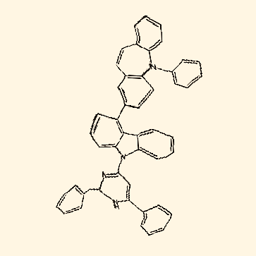 C1=Cc2cc(-c3cccc4c3c3ccccc3n4C3=NC(c4ccccc4)NC(c4ccccc4)=C3)ccc2N(c2ccccc2)c2ccccc21